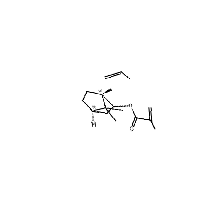 C=C(C)C(=O)OC1C[C@H]2CC[C@@]1(C)C2(C)C.C=CC